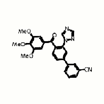 COc1cc(C(=O)c2ccc(-c3cccc(C#N)c3)cc2-n2cncn2)cc(OC)c1OC